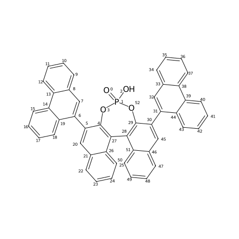 O=P1(O)Oc2c(-c3cc4ccccc4c4ccccc34)cc3ccccc3c2-c2c(c(-c3cc4ccccc4c4ccccc34)cc3ccccc23)O1